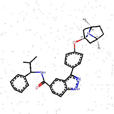 CC(C)C(NC(=O)c1ccc2[nH]nc(-c3ccc(O[C@H]4C[C@H]5CC[C@@H](C4)N5C)cc3)c2c1)c1ccccc1